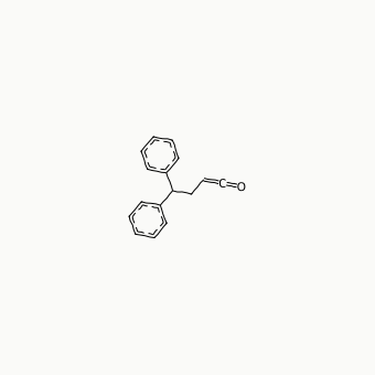 O=C=CCC(c1ccccc1)c1ccccc1